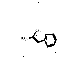 O=C(O)C(=Cc1ccccc1)C(F)(F)F